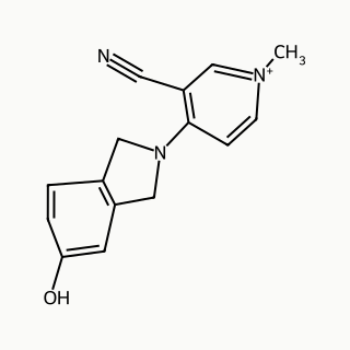 C[n+]1ccc(N2Cc3ccc(O)cc3C2)c(C#N)c1